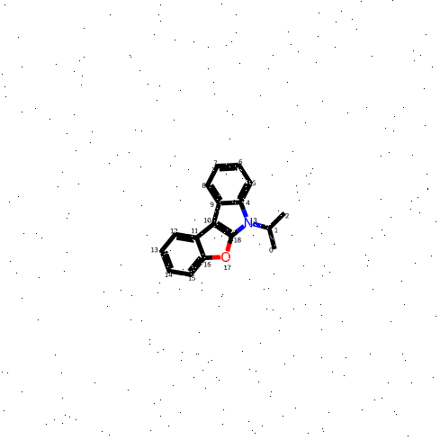 CC(C)n1c2ccccc2c2c3ccccc3oc21